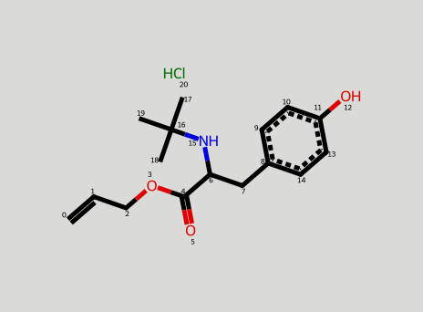 C=CCOC(=O)C(Cc1ccc(O)cc1)NC(C)(C)C.Cl